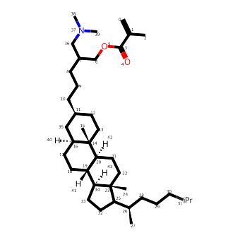 C=C(C)C(=O)OCC(CCC[C@H]1CC[C@@]2(C)[C@@H](CC[C@@H]3[C@@H]2CC[C@]2(C)C([C@H](C)CCCC(C)C)CC[C@@H]32)C1)CN(C)C